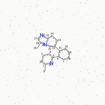 Cc1cccc(-c2ccccc2-c2ccc3ncc(C)n3c2)n1